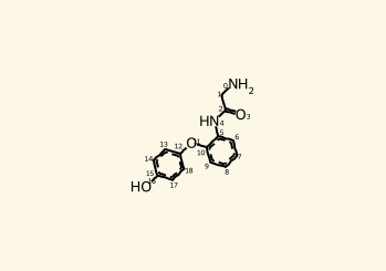 NCC(=O)Nc1ccccc1Oc1ccc(O)cc1